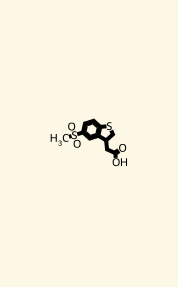 CS(=O)(=O)c1ccc2c(c1)C(CC(=O)O)CS2